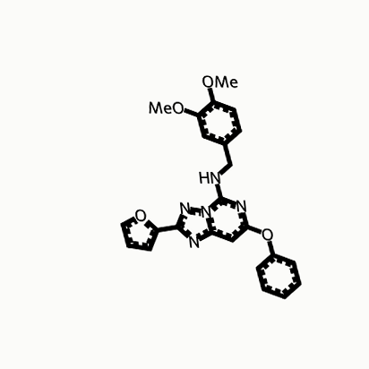 COc1ccc(CNc2nc(Oc3ccccc3)cc3nc(-c4ccco4)nn23)cc1OC